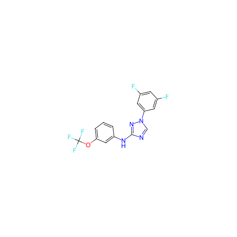 Fc1cc(F)cc(-n2cnc(Nc3cccc(OC(F)(F)F)c3)n2)c1